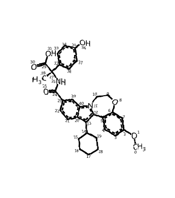 COc1ccc2c(c1)OCCn1c-2c(C2CCCCC2)c2ccc(C(=O)N[C@](C)(C(=O)O)c3ccc(O)cc3)cc21